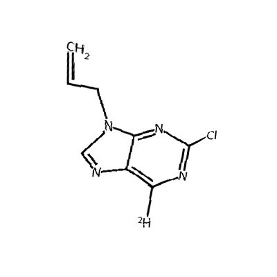 [2H]c1nc(Cl)nc2c1ncn2CC=C